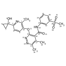 Cc1nc(C2(O)CC2)ccc1Oc1nnc(C(F)(F)F)c(C)c1C(=O)Nc1cccc(S(C)(=O)=O)c1